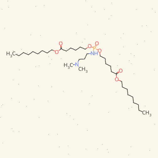 CCCCCCCCCOC(=O)CCCCCOP(=O)(NCCCN(C)C)OCCCCCC(=O)OCCCCCCCCC